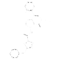 C[C@H]1C=C(c2ccccc2O)C2=C(C1=O)N(NC(=O)c1n[nH]c(Cc3ccccc3)n1)CO2